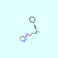 C/C(C#Cc1ccccc1)=C/CO/N=C1\CN2CCC1C2